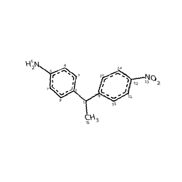 CC(c1ccc(N)cc1)c1ccc([N+](=O)[O-])cc1